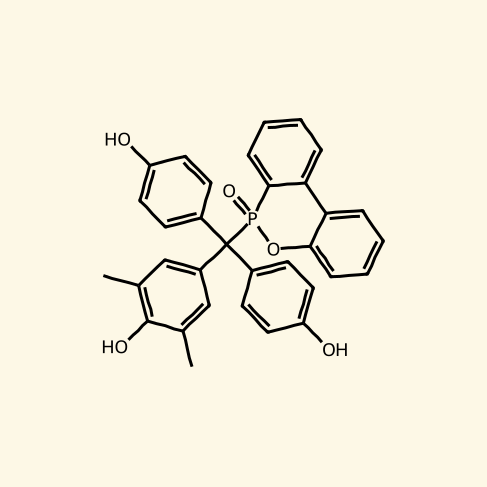 Cc1cc(C(c2ccc(O)cc2)(c2ccc(O)cc2)P2(=O)Oc3ccccc3-c3ccccc32)cc(C)c1O